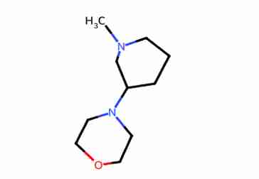 CN1CCCC(N2CCOCC2)C1